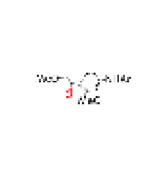 COCC(=O)c1ccc(NC(C)=O)cc1OC